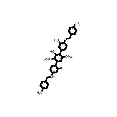 COc1cc(-c2ccc(NCc3ccc(C)cc3)cc2F)c(OC)c(O)c1-c1ccc(OCc2ccc(C)cc2)c(O)c1